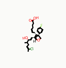 CC(Cl)=CCC(C)[C@H](O)/C=C/[C@@H]1[C@@H]2C[C@@](c3ccc(F)cc3)(CO2)[C@H]1C/C=C\CCCC(=O)O